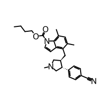 CCCCOC(=O)n1ccc2c(C[C@@H]3CN(C)C[C@H]3c3ccc(C#N)cc3)c(C)cc(C)c21